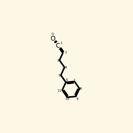 O=C=CCCCc1ccccc1